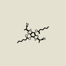 C=C(CCCCC)Oc1c2c(c(OC(=O)CCCCC)c3c1S/C(=C(/C)C#N)S3)S/C(=C(\C)C#N)S2